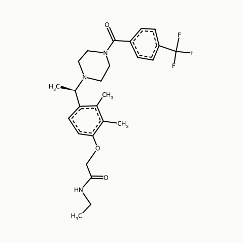 CCNC(=O)COc1ccc([C@@H](C)N2CCN(C(=O)c3ccc(C(F)(F)F)cc3)CC2)c(C)c1C